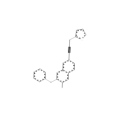 Oc1cc2ccc(C#CCc3ccc[nH]3)cc2cc1Cc1ccccc1